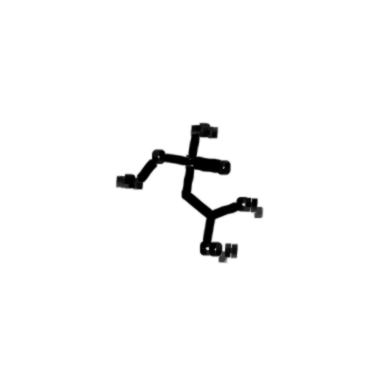 CCCCOP(=O)(CCCC)CC(C)C(=O)O